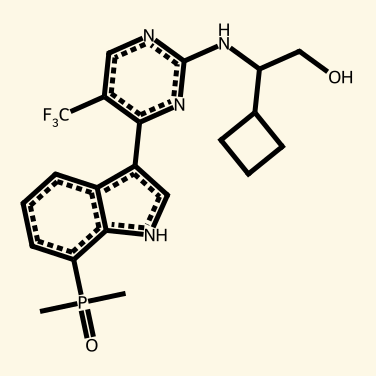 CP(C)(=O)c1cccc2c(-c3nc(NC(CO)C4CCC4)ncc3C(F)(F)F)c[nH]c12